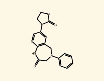 O=C1CN(c2ccccc2)Cc2cc(N3CCNC3=O)cnc2N1